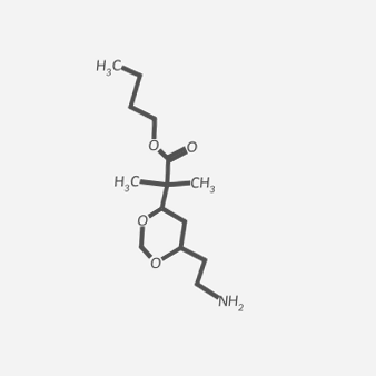 CCCCOC(=O)C(C)(C)C1CC(CCN)OCO1